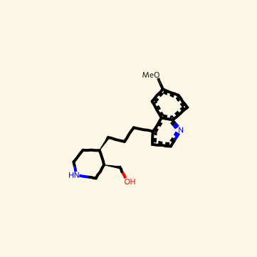 COc1ccc2nccc(CCC[C@@H]3CCNC[C@@H]3CO)c2c1